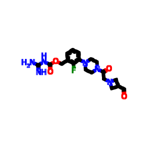 N=C(N)NC(=O)OCc1cccc(N2CCN(C(=O)CN3CC(C=O)C3)CC2)c1F